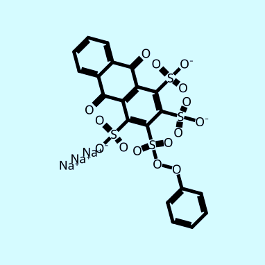 O=C1c2ccccc2C(=O)c2c1c(S(=O)(=O)[O-])c(S(=O)(=O)[O-])c(S(=O)(=O)OOc1ccccc1)c2S(=O)(=O)[O-].[Na+].[Na+].[Na+]